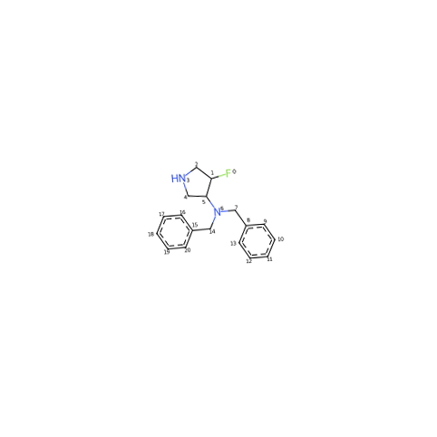 FC1CNCC1N(Cc1ccccc1)Cc1ccccc1